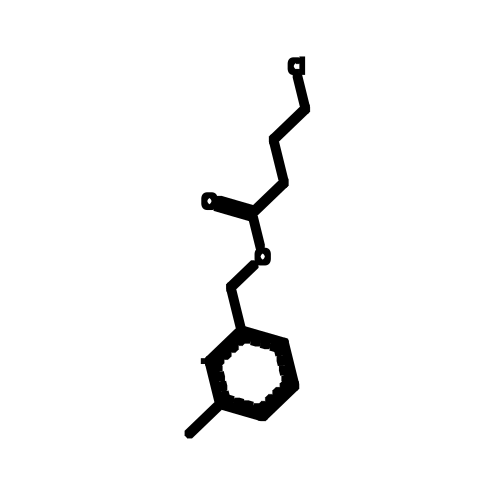 Cc1[c]c(COC(=O)CCCCl)ccc1